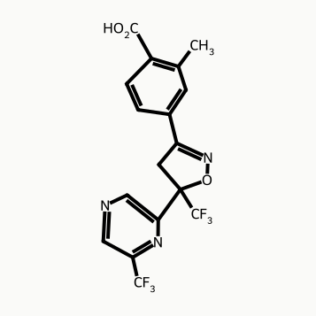 Cc1cc(C2=NOC(c3cncc(C(F)(F)F)n3)(C(F)(F)F)C2)ccc1C(=O)O